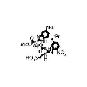 CCCCc1ccc2[nH]c(NC(=O)OC)nc2c1.CCCSc1ccc([N+](=O)[O-])c(/N=C(/NCCS(=O)(=O)O)NC(=O)OC)c1